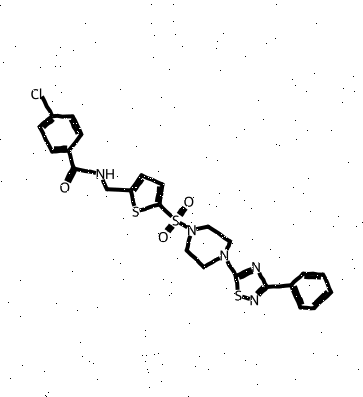 O=C(NCc1ccc(S(=O)(=O)N2CCN(c3nc(-c4ccccc4)ns3)CC2)s1)c1ccc(Cl)cc1